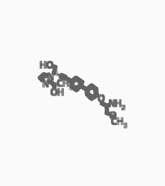 COCC(N)COc1ccc(-c2ccc(C#C[C@@H](CO)n3ccnc3[C@H](C)O)cc2)cc1